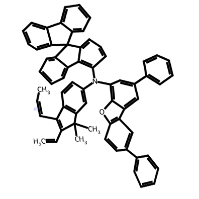 C=CC1=C(/C=C\C)c2ccc(N(c3cccc4c3-c3ccccc3C43c4ccccc4-c4ccccc43)c3cc(-c4ccccc4)cc4c3oc3ccc(-c5ccccc5)cc34)cc2C1(C)C